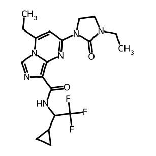 CCc1cc(N2CCN(CC)C2=O)nc2c(C(=O)NC(C3CC3)C(F)(F)F)ncn12